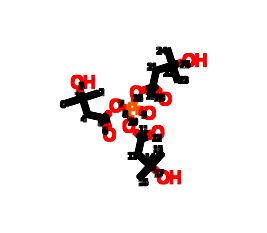 CC(C)(O)CC(=O)OP(=O)(OC(=O)CC(C)(C)O)OC(=O)CC(C)(C)O